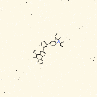 C=CC(=C)n1c(C)c(C=C)c2cc(-c3cccc(-c4ccc5c(c4)c(C=C)c(C)c4ccccc45)c3)ccc21